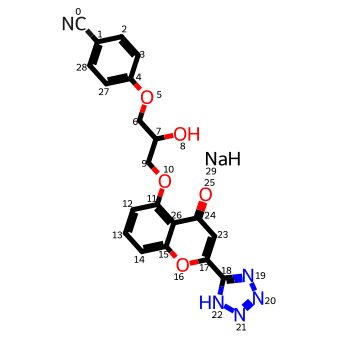 N#Cc1ccc(OCC(O)COc2cccc3oc(-c4nnn[nH]4)cc(=O)c23)cc1.[NaH]